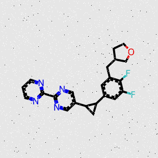 Fc1cc(C2CC2c2cnc(-c3ncccn3)nc2)cc(CC2CCOC2)c1F